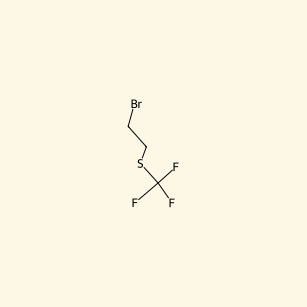 FC(F)(F)SCCBr